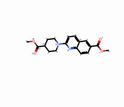 COC(=O)c1ccc2nc(N3CCC(C(=O)OC)CC3)ccc2c1